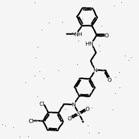 CNc1ccccc1C(=O)NCCN(C=O)c1ccc(N(Cc2cccc(Cl)c2Cl)S(C)(=O)=O)cc1